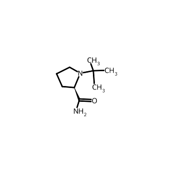 CC(C)(C)N1CCC[C@@H]1C(N)=O